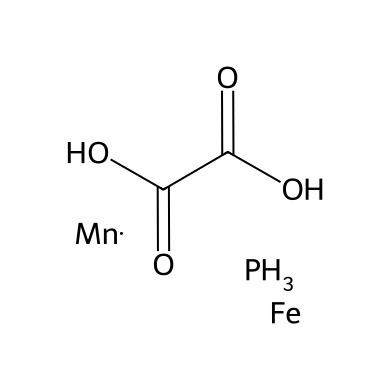 O=C(O)C(=O)O.P.[Fe].[Mn]